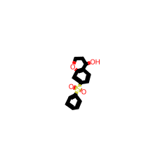 O=S(=O)(c1ccccc1)c1ccc2c(c1)OCCC2O